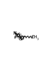 CCCCCCCC1CCOC(c2ccc(C#N)c(F)c2)C1